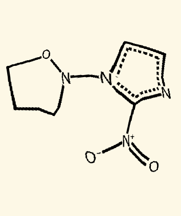 O=[N+]([O-])c1nccn1N1CCCO1